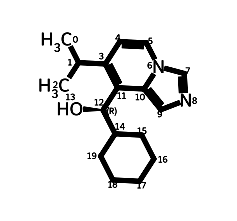 CC(C)c1ccn2cncc2c1[C@H](O)C1CCCCC1